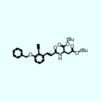 C#Cc1c(/C=C/C(=O)NC(CC(=O)OC(C)(C)C)C(=O)OC(C)(C)C)cccc1OCc1ccccc1